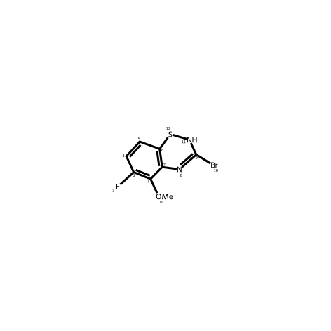 COc1c(F)ccc2c1N=C(Br)NS2